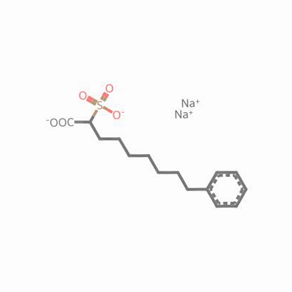 O=C([O-])C(CCCCCCCc1ccccc1)S(=O)(=O)[O-].[Na+].[Na+]